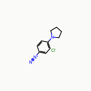 N#[N+]c1ccc(N2CCCC2)cc1.[Cl-]